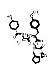 COc1ccc(C[C@H](NC(=O)[C@@H](C)NC(=O)[C@H]2CC[C@H](O)CC2)C(=O)N[C@@H](CC2=CCCC2)C(=O)[C@H]2CO2)cc1